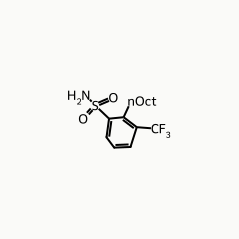 CCCCCCCCc1c(C(F)(F)F)cccc1S(N)(=O)=O